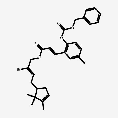 CCC(=CCC1CC=C(C)C1(C)C)COC(=O)C=Cc1cc(C)ccc1OC(=O)OCc1ccccc1